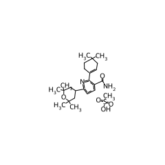 CC1(C)CC=C(c2nc(C3CC(C)(C)OC(C)(C)C3)ccc2C(N)=O)CC1.CS(=O)(=O)O